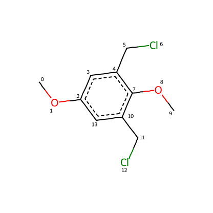 COc1cc(CCl)c(OC)c(CCl)c1